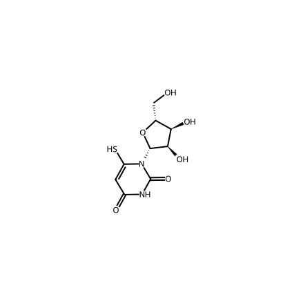 O=c1cc(S)n([C@@H]2O[C@H](CO)[C@@H](O)[C@H]2O)c(=O)[nH]1